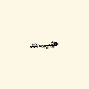 CCCCC(O)COCCOCC(O)CCCCC(O)C([18F])C1=C[C@H](C)CC1=O